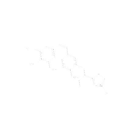 CCOC(=O)CC(Oc1cc(/C=C\c2cc(OC)c(OC)c(OC)c2)ccc1OC)c1ccc([N+](=O)[O-])s1